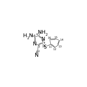 N#Cc1nc(N)c(N)nc1Sc1ccccc1